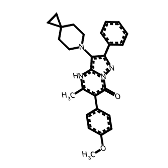 COc1ccc(-c2c(C)[nH]c3c(N4CCC5(CC4)CC5)c(-c4ccccc4)nn3c2=O)cc1